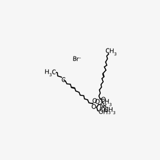 CCCCCCCCC=CCCCCCCCC(=O)OC(CO)C(OC(=O)CCCCCCCC=CCCCCCCCC)[N+](C)(C)CC.[Br-]